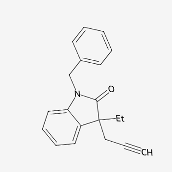 C#CCC1(CC)C(=O)N(Cc2ccccc2)c2ccccc21